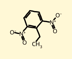 CCc1c([N+](=O)[O-])cccc1[N+](=O)[O-]